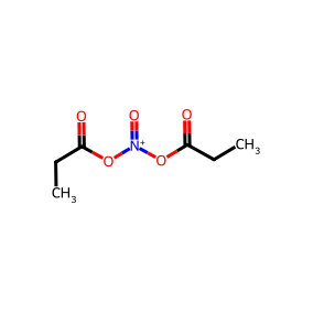 CCC(=O)O[N+](=O)OC(=O)CC